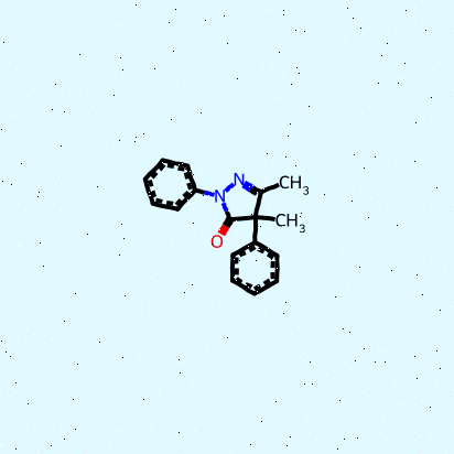 CC1=NN(c2ccccc2)C(=O)C1(C)c1ccccc1